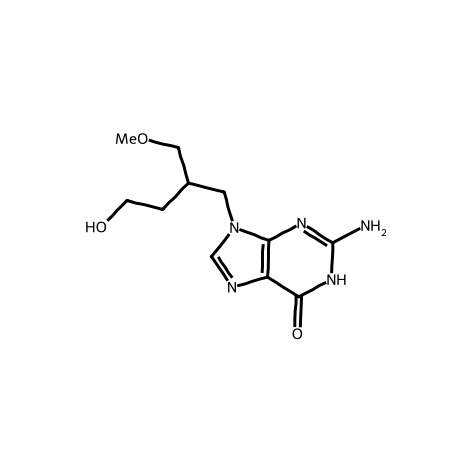 COCC(CCO)Cn1cnc2c(=O)[nH]c(N)nc21